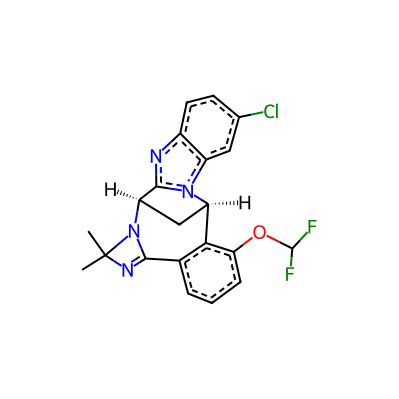 CC1(C)N=C2c3cccc(OC(F)F)c3[C@H]3C[C@H](c4nc5ccc(Cl)cc5n43)N21